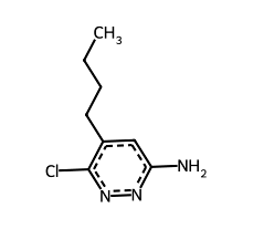 CCCCc1cc(N)nnc1Cl